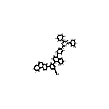 N#Cc1cc(-c2ccc3c4c(ccc3c2)CCC=C4)cc(-c2ccc(-c3ccc(-c4nc(C5=CC=CCC5)nc(-c5ccccc5)n4)cc3)c3ccccc23)c1